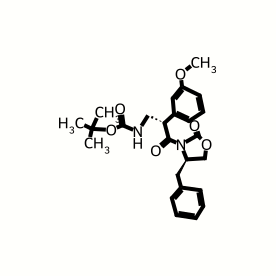 COc1cccc([C@@H](CNC(=O)OC(C)(C)C)C(=O)N2C(=O)OC[C@H]2Cc2ccccc2)c1